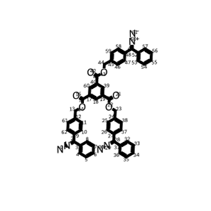 [N-]=[N+]=C(c1ccccc1)c1ccc(COC(=O)c2cc(C(=O)OCc3ccc(C(=[N+]=[N-])c4ccccc4)cc3)cc(C(=O)OCc3ccc(C(=[N+]=[N-])c4ccccc4)cc3)c2)cc1